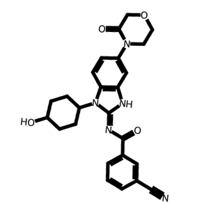 N#Cc1cccc(C(=O)/N=c2\[nH]c3cc(N4CCOCC4=O)ccc3n2C2CCC(O)CC2)c1